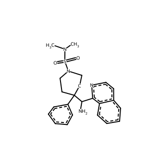 CN(C)S(=O)(=O)N1CCC(c2ccccc2)(C(N)c2nccc3ccccc23)CC1